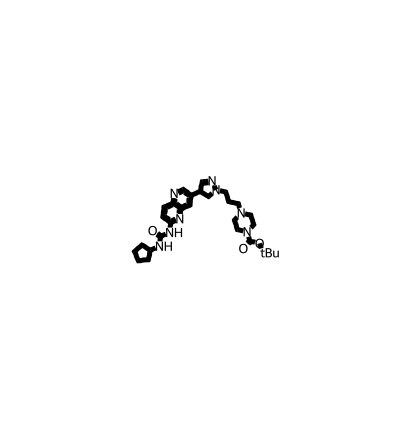 CC(C)(C)OC(=O)N1CCN(CCCN2CC(c3cnc4ccc(NC(=O)NC5CCCC5)nc4c3)C=N2)CC1